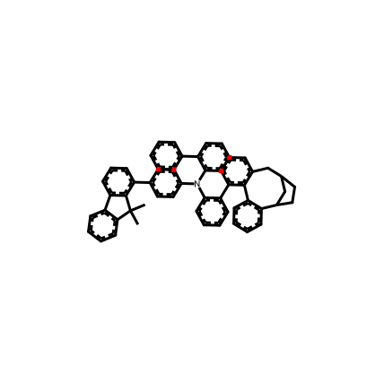 CC1(C)c2ccccc2-c2cccc(-c3ccc(N(c4ccccc4-c4ccccc4)c4ccccc4-c4cccc5c4-c4ccccc4C4CCC(C5)C4)cc3)c21